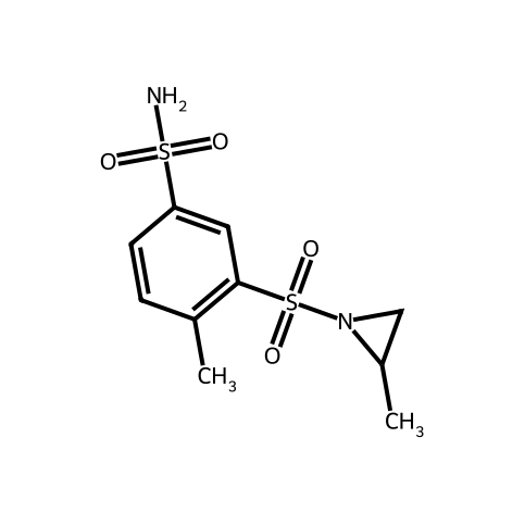 Cc1ccc(S(N)(=O)=O)cc1S(=O)(=O)N1CC1C